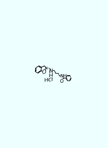 Cl.O=C(NCCCCNC[C@H]1Cc2ccccc2O1)c1ccccc1